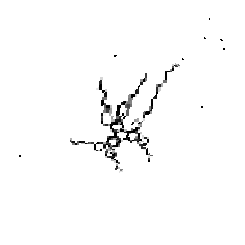 CCCCCCCCC=CCOc1cc(OCCCCC)cc2c3cc(OCCCCC)c(OCCCCC)cc3c3cc(OCCCCC)c(OCCCCC)cc3c12